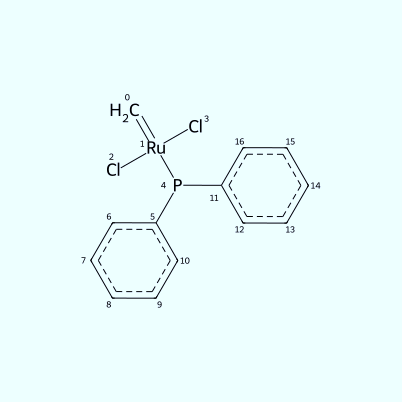 [CH2]=[Ru]([Cl])([Cl])[P](c1ccccc1)c1ccccc1